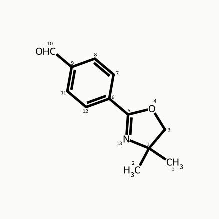 CC1(C)COC(c2ccc(C=O)cc2)=N1